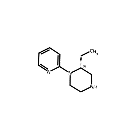 CC[C@@H]1CNCCN1c1ccccn1